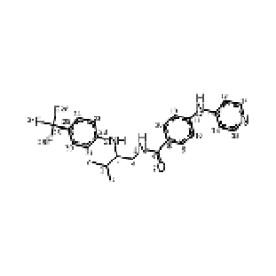 CC(C)[C@H](CNC(=O)c1ccc(Nc2ccncc2)cc1)Nc1ccc(C(F)(F)F)cc1